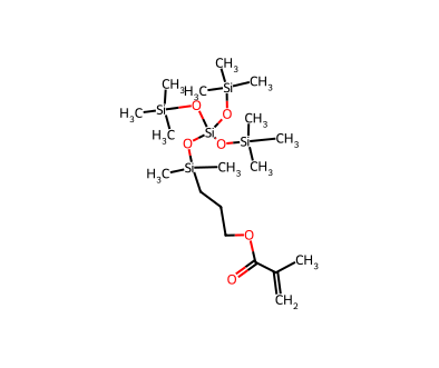 C=C(C)C(=O)OCCC[Si](C)(C)O[Si](O[Si](C)(C)C)(O[Si](C)(C)C)O[Si](C)(C)C